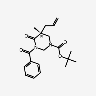 C=CC[C@]1(C)CN(C(=O)OC(C)(C)C)CN(C(=O)c2ccccc2)C1=O